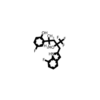 CC(C)(CC(O)(Cc1cc2cccc(F)c2[nH]1)C(F)(F)F)c1cc(F)ccc1O